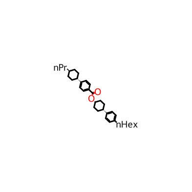 CCCCCCc1ccc([C@H]2CC[C@H](OC(=O)c3ccc([C@H]4CC[C@H](CCC)CC4)cc3)CC2)cc1